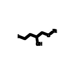 CCOCC(O)CCI